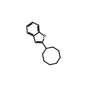 C1=C(C2CCCCCCC2)[P]c2ccccc21